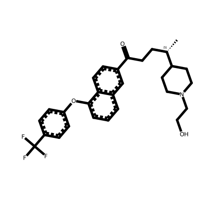 C[C@@H](CCC(=O)c1ccc2c(Oc3ccc(C(F)(F)F)cc3)cccc2c1)C1CCN(CCO)CC1